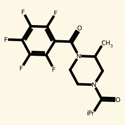 CC(C)C(=O)N1CCN(C(=O)c2c(F)c(F)c(F)c(F)c2F)C(C)C1